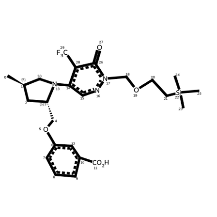 C[C@@H]1C[C@@H](COc2cccc(C(=O)O)c2)N(c2cnn(COCC[Si](C)(C)C)c(=O)c2C(F)(F)F)C1